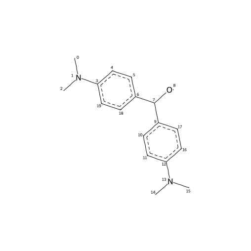 CN(C)c1ccc(C([O])c2ccc(N(C)C)cc2)cc1